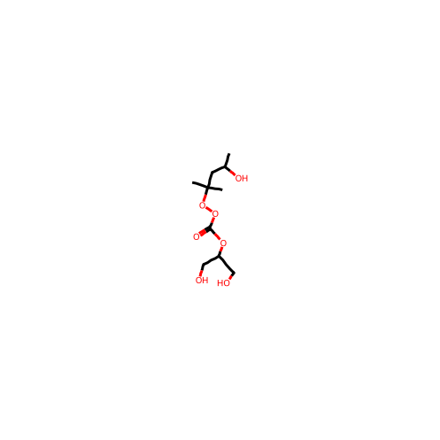 CC(O)CC(C)(C)OOC(=O)OC(CO)CO